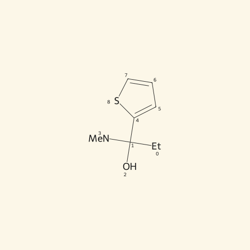 CCC(O)(NC)c1cccs1